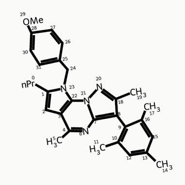 CCCc1cc2c(C)nc3c(-c4c(C)cc(C)cc4C)c(C)nn3c2n1Cc1ccc(OC)cc1